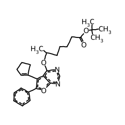 CC(CCCCC(=O)OC(C)(C)C)Oc1ncnc2oc(-c3ccccc3)c(C3=CCCC3)c12